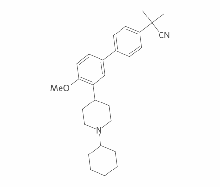 COc1ccc(-c2ccc(C(C)(C)C#N)cc2)cc1C1CCN(C2CCCCC2)CC1